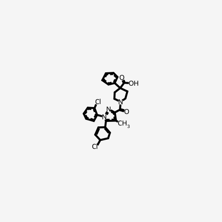 Cc1c(C(=O)N2CCC(C(=O)O)(c3ccccc3)CC2)nn(-c2ccccc2Cl)c1C1=CCC(Cl)C=C1